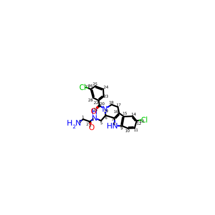 NCC(=O)NCC1c2[nH]c3ccc(Cl)cc3c2CCN1C(=O)c1cccc(Cl)c1